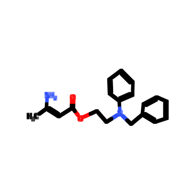 C/C(N)=C/C(=O)OCCN(Cc1ccccc1)c1ccccc1